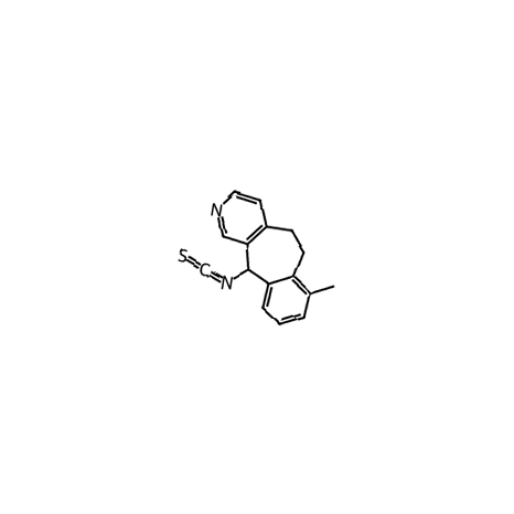 Cc1cccc2c1CCc1ccncc1C2N=C=S